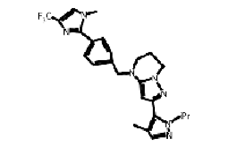 Cc1cnn(C(C)C)c1-c1cc2n(n1)CCCN2Cc1ccc(-c2nc(C(F)(F)F)cn2C)cc1